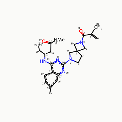 C=C(C(=O)N1CC2(CCN(c3nc(N[C@H](CC(=O)NC)CC(C)C)c4ccc(C)cc4n3)C2)C1)C(F)(F)F